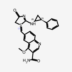 COc1c(C(N)=O)cnc2ccc(/C=S3/CC(=O)N=C3N[C@@H]3C[C@H]3c3ccccc3)cc12